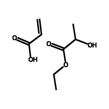 C=CC(=O)O.CCOC(=O)C(C)O